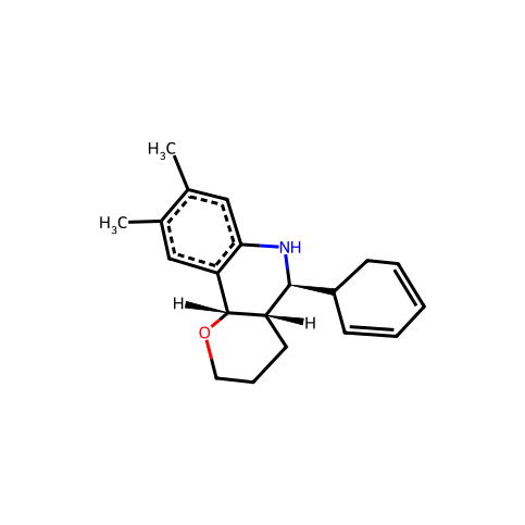 Cc1cc2c(cc1C)[C@H]1OCCC[C@H]1[C@H](C1C=CC=CC1)N2